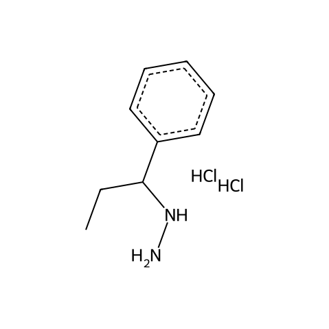 CCC(NN)c1ccccc1.Cl.Cl